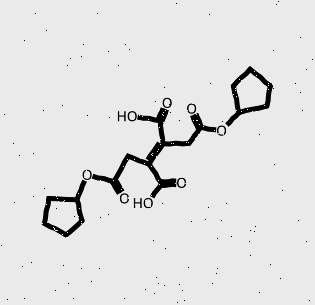 O=C(C/C(C(=O)O)=C(/CC(=O)OC1CCCC1)C(=O)O)OC1CCCC1